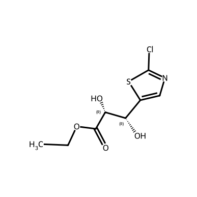 CCOC(=O)[C@H](O)[C@@H](O)c1cnc(Cl)s1